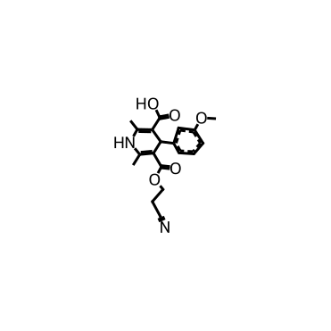 COc1cccc(C2C(C(=O)O)=C(C)NC(C)=C2C(=O)OCCC#N)c1